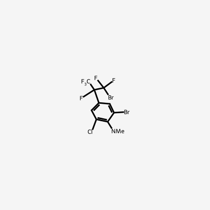 CNc1c(Cl)cc(C(F)(C(F)(F)F)C(F)(F)Br)cc1Br